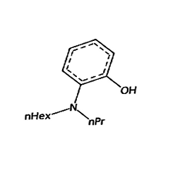 CCCCCCN(CCC)c1ccccc1O